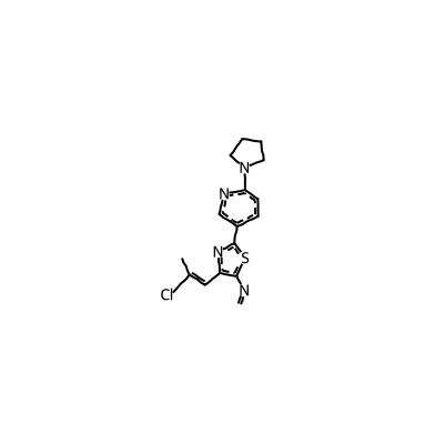 C=Nc1sc(-c2ccc(N3CCCC3)nc2)nc1/C=C(\C)Cl